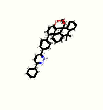 CC1(C)c2ccccc2C2(c3ccccc3Oc3ccc(-c4ccc(-c5ccc(-c6ccccc6)nn5)cc4)cc32)c2ccccc21